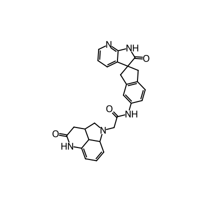 O=C1CC2CN(CC(=O)Nc3ccc4c(c3)CC3(C4)C(=O)Nc4ncccc43)C3C=CC=C(N1)C23